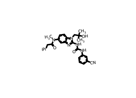 CC(C)CC(=O)N(C)c1ccc2c(c1)nc(NC(=O)Nc1cccc(C#N)c1)n2CC(C)(C)O